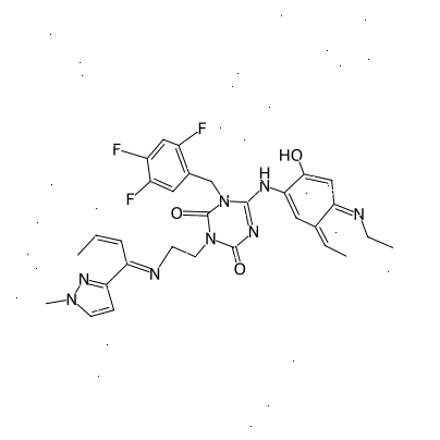 C/C=C\C(=N/CCn1c(=O)nc(NC2=CC(=C/C)/C(=N\CC)C=C2O)n(Cc2cc(F)c(F)cc2F)c1=O)c1ccn(C)n1